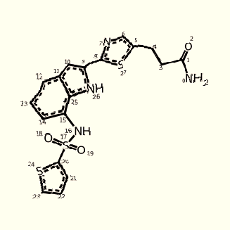 NC(=O)CCc1cnc(-c2cc3cccc(NS(=O)(=O)c4cccs4)c3[nH]2)s1